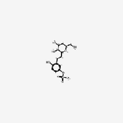 O=S(=O)(Oc1ccc(O)c(CCC2OC(CO)CC(O)C2O)c1)C(F)(F)F